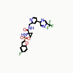 O=C(NCc1cc(-c2cnc(C(F)(F)F)cn2)ccn1)C1(NS(=O)(=O)c2cc3cc(F)ccc3o2)CC1